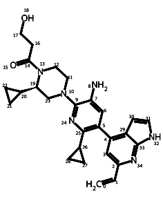 C=Cc1cc(-c2cc(N)c(N3CCN(C(=O)CCO)[C@H](C4CC4)C3)nc2C2CC2)c2cc[nH]c2n1